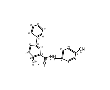 N#Cc1ccc(CNC(=O)c2cc(-c3ccccc3)ccc2N)cc1